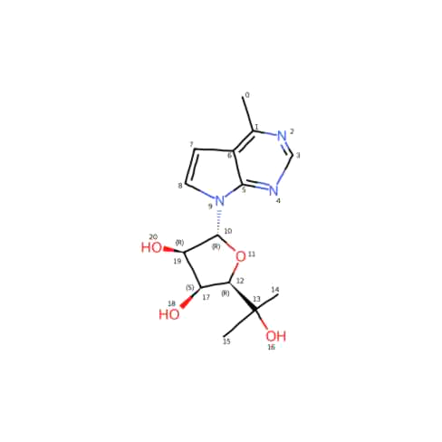 Cc1ncnc2c1ccn2[C@@H]1O[C@@H](C(C)(C)O)[C@@H](O)[C@H]1O